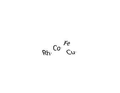 [Co].[Cu].[Fe].[Rh]